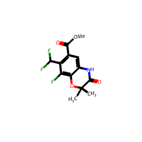 COC(=O)c1cc2c(c(F)c1C(F)F)OC(C)(C)C(=O)N2